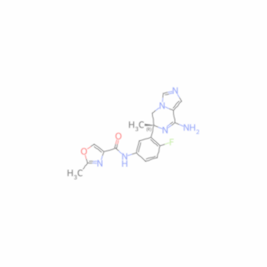 Cc1nc(C(=O)Nc2ccc(F)c([C@]3(C)Cn4cncc4C(N)=N3)c2)co1